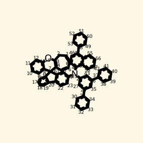 C1=CCC2=C(C=C1)C1(c3ccccc3O2)c2ccccc2-c2ccc(N(c3cc(-c4ccccc4)cc(-c4ccccc4)c3)c3ccc(-c4ccccc4)c4ccccc34)cc21